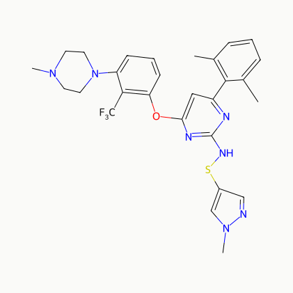 Cc1cccc(C)c1-c1cc(Oc2cccc(N3CCN(C)CC3)c2C(F)(F)F)nc(NSc2cnn(C)c2)n1